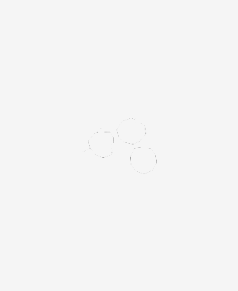 C1CCCCCCCCC1.C1CCCCCCCCC1.CC1CCCCCCCCC1